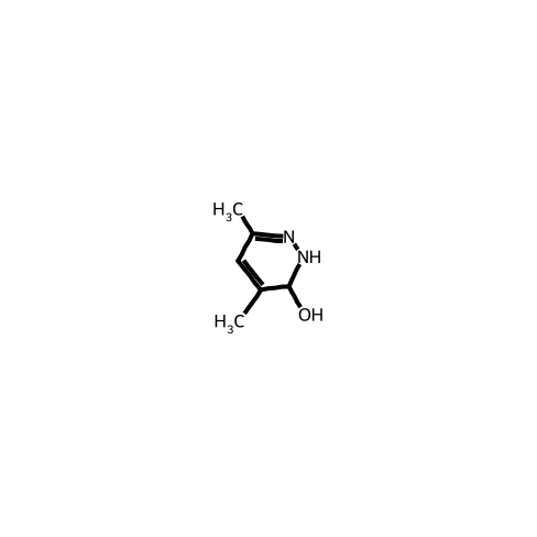 CC1=CC(C)=NNC1O